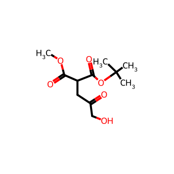 COC(=O)C(CC(=O)CO)C(=O)OC(C)(C)C